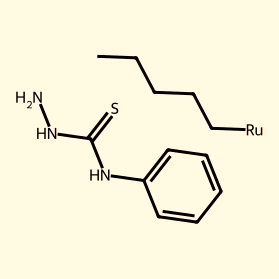 CCCC[CH2][Ru].NNC(=S)Nc1ccccc1